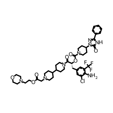 Nc1c(Cl)cc(C[C@@H](OC(=O)N2CCC(n3nc(-c4ccccc4)[nH]c3=O)CC2)C(=O)N2CCC(C3CCN(CC(=O)OCCN4CCOCC4)CC3)CC2)cc1C(F)(F)F